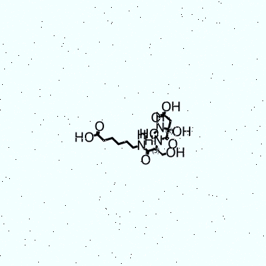 O=C(O)CCCCCNC(=O)[C@H](CO)NC(=O)[C@](O)(CC(=O)O)NO